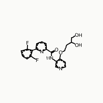 O=C(Nc1cnccc1OCCC(O)CO)c1cccc(-c2c(F)cccc2F)n1